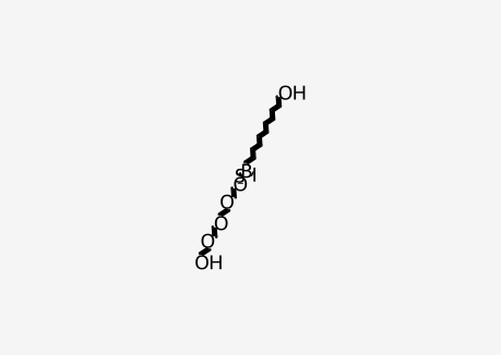 OCCCCCCCCCCCB(I)SOCCOCCOCCOCCO